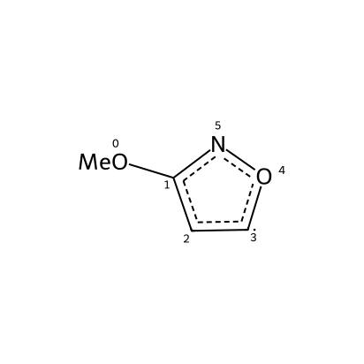 COc1c[c]on1